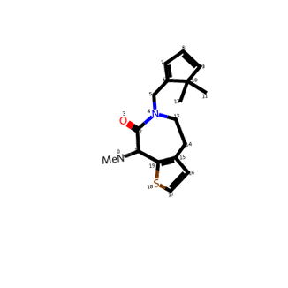 CNC1C(=O)N(CC2=CC=CC2(C)C)CCc2ccsc21